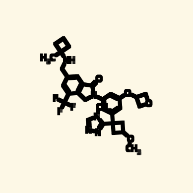 COC1CC(c2cc(OC3COC3)cc(N3Cc4c(cc(CNC5(C)CCC5)cc4C(F)(F)F)C3=O)c2)(c2nncn2C)C1